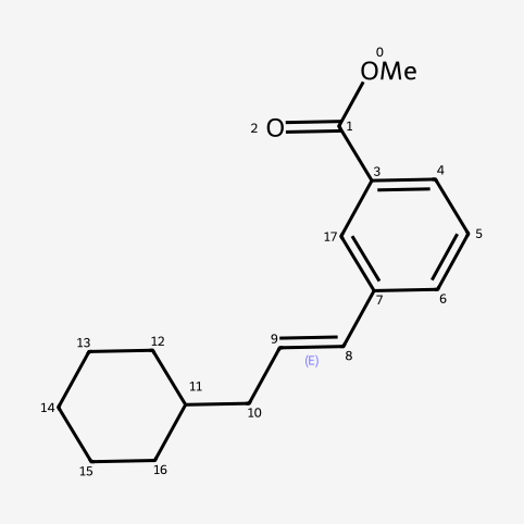 COC(=O)c1cccc(/C=C/CC2CCCCC2)c1